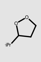 C[C](C)C1CCOO1